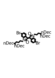 CCCCCCCCCCC(CCCCCCCCCC)CCCCN1C(=O)/C(=C2/C(=O)N(CCCC(CCCCCCCCCC)CCCCCCCCCC)c3cc(Br)ccc32)c2ccc(Br)cc21